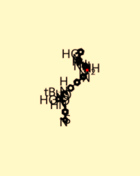 Cc1ncsc1-c1ccc(CNC(=O)[C@@H]2C[C@@H](O)CN2C(=O)[C@@H](NC(=O)[C@H]2CC[C@H](c3ccc(-c4cnc(CC5CC6CN(c7cc(-c8ccccc8O)nnc7N)CC5N6)nc4)cc3)CC2)C(C)(C)C)cc1